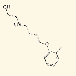 Cc1ccccc1OCCCCNCCO